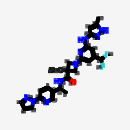 COC1(C(=O)N[C@@H](C)c2ccc(-n3cccn3)nc2)CN(c2cc(C(F)F)cc(Nc3cc(C)[nH]n3)n2)C1